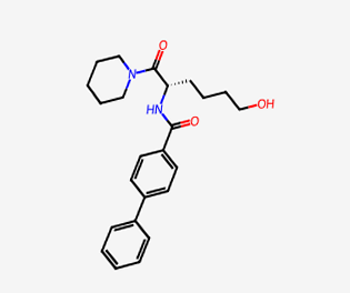 O=C(N[C@@H](CCCCO)C(=O)N1CCCCC1)c1ccc(-c2ccccc2)cc1